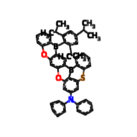 CC(C)c1cc(C(C)C)c(B2c3ccccc3Oc3cc4c(cc32)B2c3ccccc3Sc3cc(N(c5ccccc5)c5ccccc5)cc(c32)O4)c(C(C)C)c1